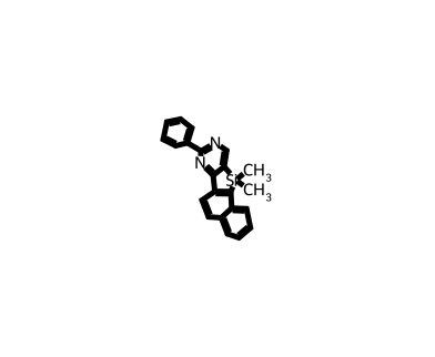 C[Si]1(C)c2cnc(-c3ccccc3)nc2-c2ccc3ccccc3c21